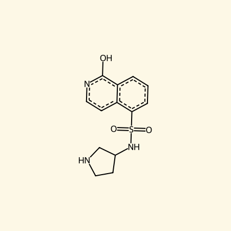 O=S(=O)(NC1CCNC1)c1cccc2c(O)nccc12